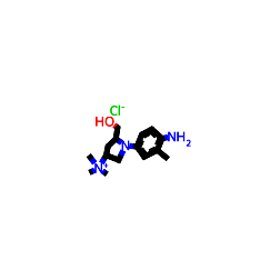 Cc1cc(N2CC([N+](C)(C)C)CC2CO)ccc1N.[Cl-]